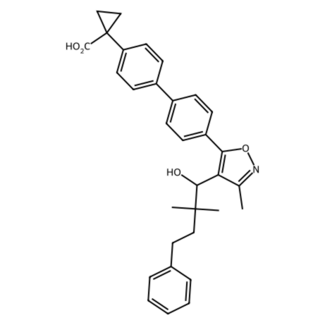 Cc1noc(-c2ccc(-c3ccc(C4(C(=O)O)CC4)cc3)cc2)c1C(O)C(C)(C)CCc1ccccc1